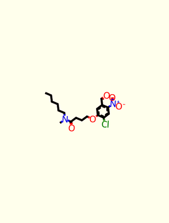 CCCCCCN(C)C(=O)CCCOc1cc(C=O)c([N+](=O)[O-])cc1Cl